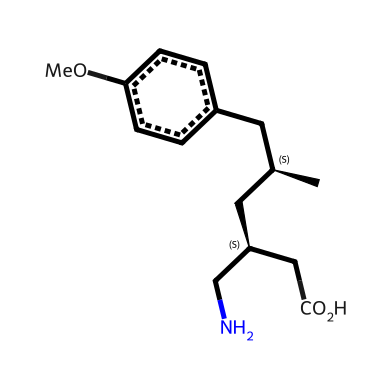 COc1ccc(C[C@@H](C)C[C@H](CN)CC(=O)O)cc1